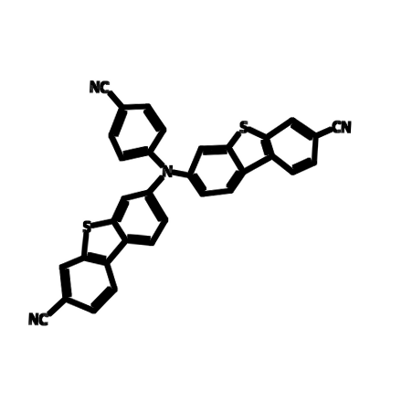 N#Cc1ccc(N(c2ccc3c(c2)sc2cc(C#N)ccc23)c2ccc3c(c2)sc2cc(C#N)ccc23)cc1